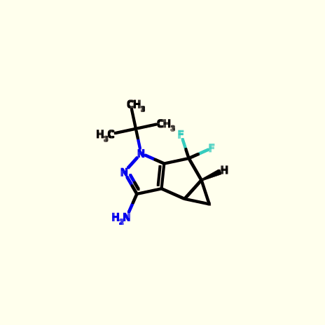 CC(C)(C)n1nc(N)c2c1C(F)(F)[C@@H]1CC21